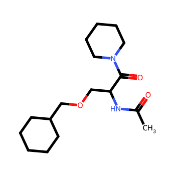 CC(=O)NC(COCC1CCCCC1)C(=O)N1CCCCC1